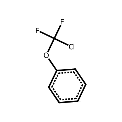 FC(F)(Cl)Oc1cc[c]cc1